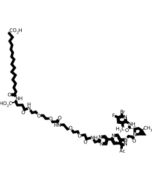 CC(=O)c1nn(CC(=O)N2C3C[C@]3(C)C[C@H]2C(=O)Nc2nc(Br)c(F)cc2C)c2cnc(-c3cnc(CNC(=O)COCCOCCNC(=O)COCCOCCNC(=O)CC[C@H](NC(=O)CCCCCCCCCCCCCCCCC(=O)O)C(=O)O)nc3)cc12